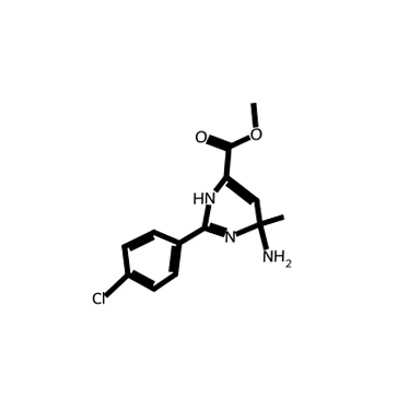 COC(=O)C1=CC(C)(N)N=C(c2ccc(Cl)cc2)N1